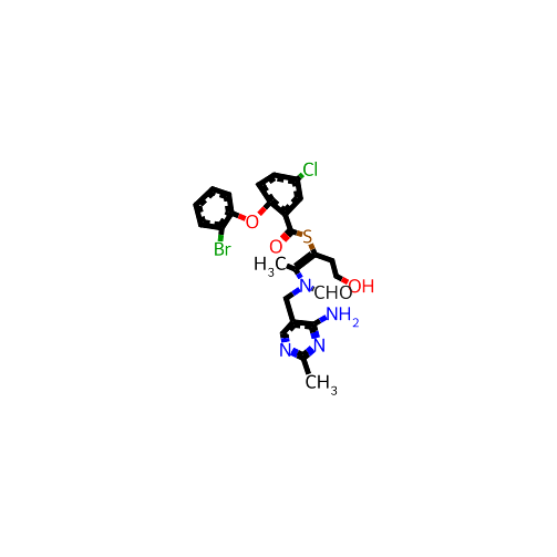 CC(=C(CCO)SC(=O)c1cc(Cl)ccc1Oc1ccccc1Br)N(C=O)Cc1cnc(C)nc1N